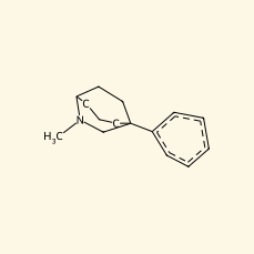 CN1CC2(c3ccccc3)CCCC1CC2